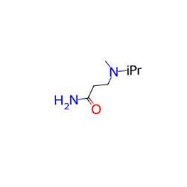 CC(C)N(C)CCC(N)=O